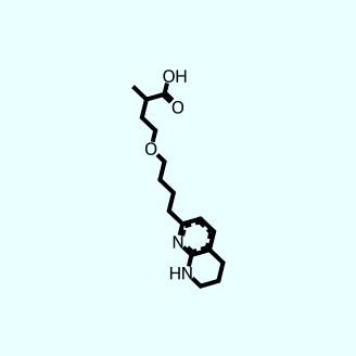 CC(CCOCCCCc1ccc2c(n1)NCCC2)C(=O)O